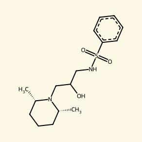 C[C@@H]1CCC[C@H](C)N1CC(O)CNS(=O)(=O)c1ccccc1